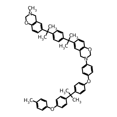 Cc1ccc(Oc2ccc(C(C)(C)c3ccc(Oc4ccc(N5COc6ccc(C(C)(C)c7ccc(C(C)(C)c8ccc9c(c8)CN(C)CO9)cc7)cc6C5)cc4)cc3)cc2)cc1